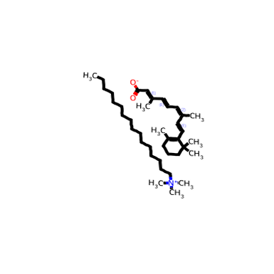 CC1=C(/C=C/C(C)=C\C=C\C(C)=C\C(=O)[O-])C(C)(C)CCC1.CCCCCCCCCCCCCCCC[N+](C)(C)C